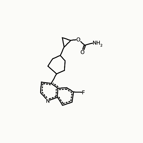 NC(=O)OC1CC1C1CCC(c2ccnc3ccc(F)cc23)CC1